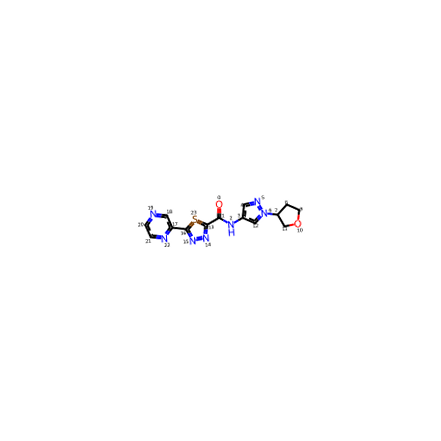 O=C(Nc1cnn(C2CCOC2)c1)c1nnc(-c2cnccn2)s1